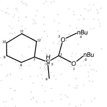 CCCCOC(OCCCC)[SiH](C)C1CCCCC1